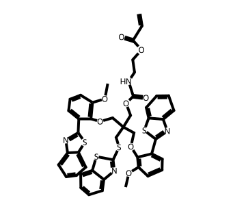 C=CC(=O)OCCNC(=O)OCC(COc1c(OC)cccc1-c1nc2ccccc2s1)(COc1c(OC)cccc1-c1nc2ccccc2s1)CSc1nc2ccccc2s1